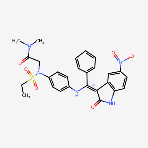 CCS(=O)(=O)N(CC(=O)N(C)C)c1ccc(N/C(=C2\C(=O)Nc3ccc([N+](=O)[O-])cc32)c2ccccc2)cc1